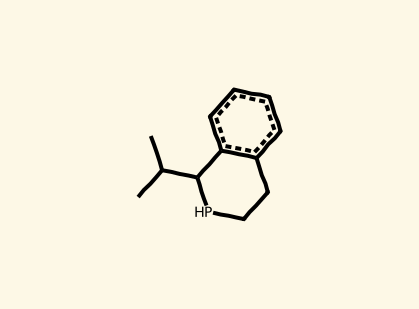 CC(C)C1PCCc2ccccc21